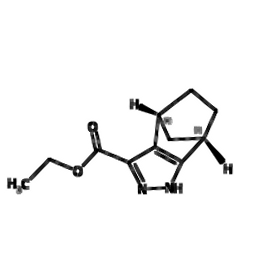 CCOC(=O)c1n[nH]c2c1[C@@H]1CC[C@H]2C1